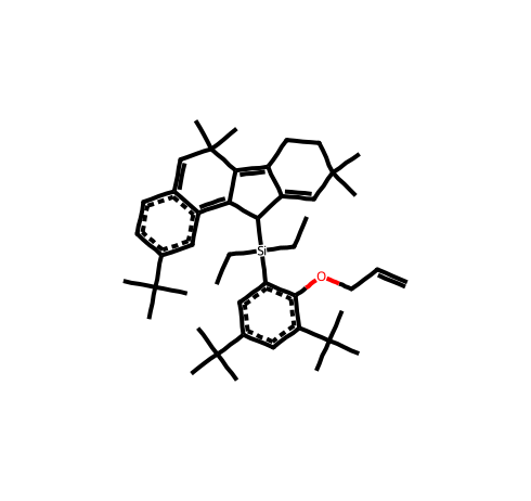 C=CCOc1c(C(C)(C)C)cc(C(C)(C)C)cc1[Si](CC)(CC)C1C2=CC(C)(C)CCC2=C2C1=c1cc(C(C)(C)C)ccc1=CC2(C)C